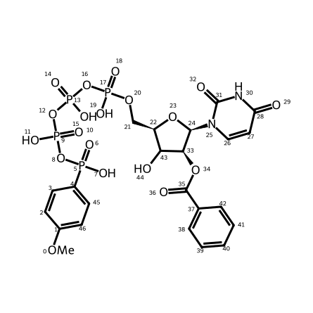 COc1ccc(P(=O)(O)OP(=O)(O)OP(=O)(O)OP(=O)(O)OC[C@H]2O[C@@H](n3ccc(=O)[nH]c3=O)[C@@H](OC(=O)c3ccccc3)C2O)cc1